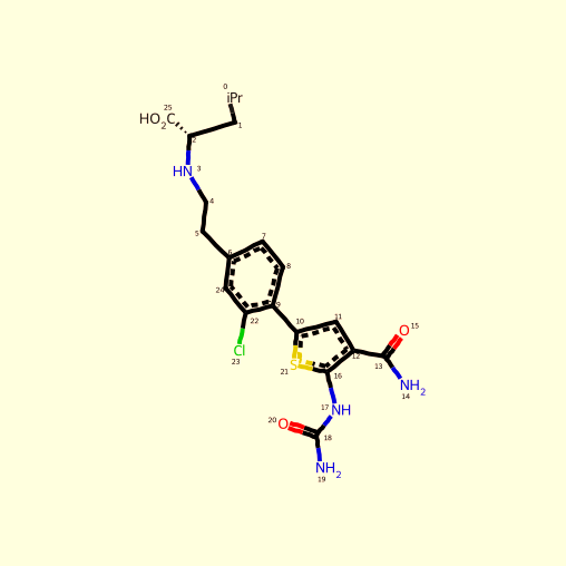 CC(C)C[C@H](NCCc1ccc(-c2cc(C(N)=O)c(NC(N)=O)s2)c(Cl)c1)C(=O)O